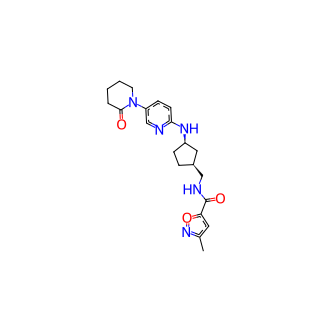 Cc1cc(C(=O)NC[C@H]2CC[C@@H](Nc3ccc(N4CCCCC4=O)cn3)C2)on1